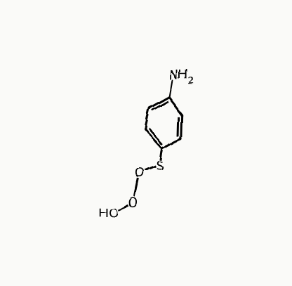 Nc1ccc(SOOO)cc1